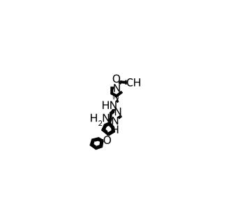 C#CC(=O)N1CC[C@H](CNC2=CC(N)(c3ccc(Oc4ccccc4)cc3)NC=N2)C1